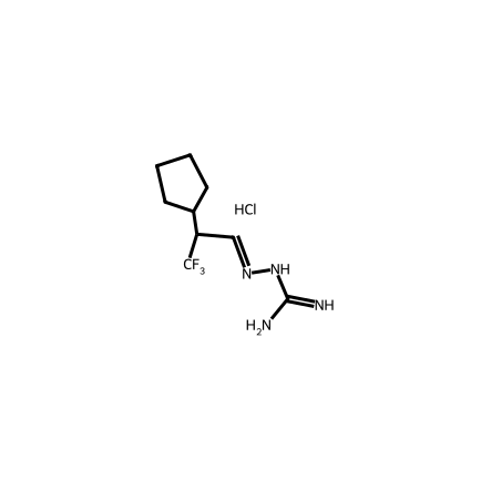 Cl.N=C(N)NN=CC(C1CCCC1)C(F)(F)F